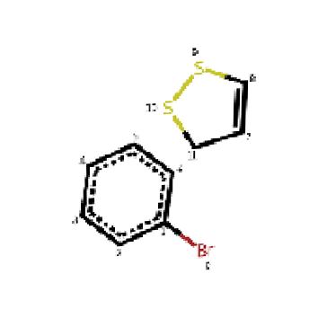 Brc1ccccc1.C1=CSSC1